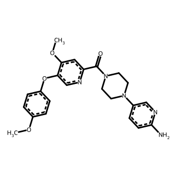 COc1ccc(Oc2cnc(C(=O)N3CCN(c4ccc(N)nc4)CC3)cc2OC)cc1